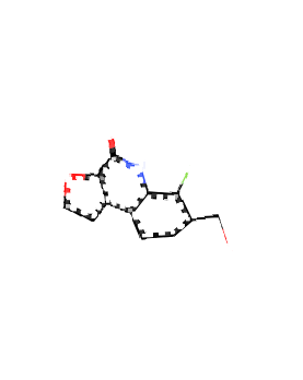 O=c1[nH]c2c(F)c(CO)ccc2c2ccoc12